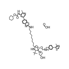 Cc1ncc(-c2ccc3nc(NCCCCCCCCCC(=O)N[C@H](C(=O)N4C[C@H](O)C[C@H]4C(=O)NCc4ccc(-c5scnc5C)cc4)C(C)(C)C)sc3c2)cc1NC(=O)OC1CCCCC1.O=CO